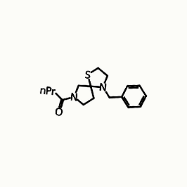 CCCC(=O)N1CCC2(C1)SCCN2Cc1ccccc1